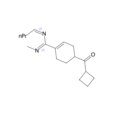 CCC/C=N\C(=N/C)C1=CCC(C(=O)C2CCC2)CC1